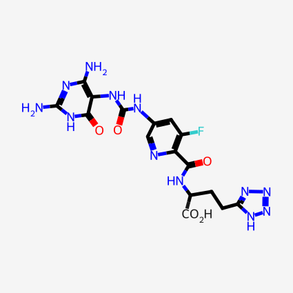 Nc1nc(N)c(NC(=O)Nc2cnc(C(=O)NC(CCc3nnn[nH]3)C(=O)O)c(F)c2)c(=O)[nH]1